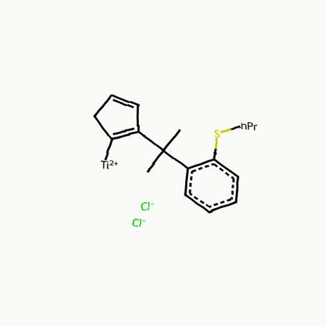 CCCSc1ccccc1C(C)(C)C1=[C]([Ti+2])CC=C1.[Cl-].[Cl-]